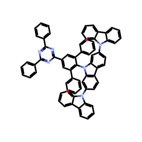 c1ccc(-c2nc(-c3ccccc3)nc(-c3cc(-c4ccccc4)c(-n4c5cc(-n6c7ccccc7c7ccccc76)ccc5c5ccc(-n6c7ccccc7c7ccccc76)cc54)c(-c4ccccc4)c3)n2)cc1